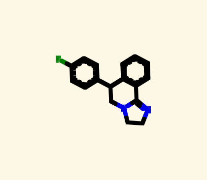 Fc1ccc(C2CN3CCN=C3c3ccccc32)cc1